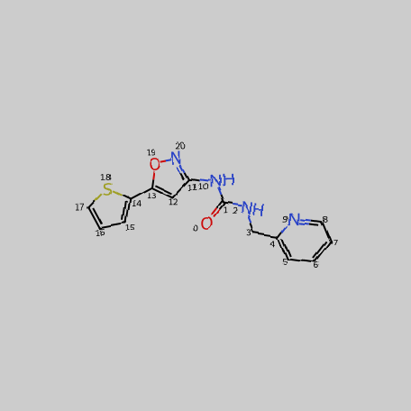 O=C(NCc1ccccn1)Nc1cc(-c2cccs2)on1